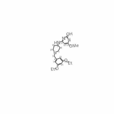 CCOc1cc(CN2CCC(Nc3cc(OC)nc(O)n3)CC2)cc(OCC)c1